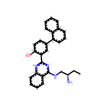 CC[C@@H](N)CNc1nc(-c2cc(-c3cccc4ccccc34)ccc2O)nc2ccccc12